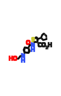 O=C(Nc1scc(C2CCCCC2)c1C(=O)O)c1ccc(NCCO)cc1